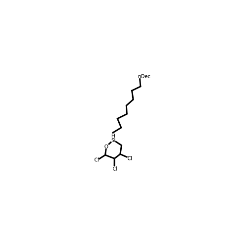 CCCCCCCCCCCCCCCCCC[SiH]1CC(Cl)C(Cl)C(Cl)O1